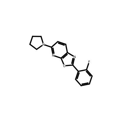 Fc1ccccc1-c1nc2ccc(N3CCCC3)nc2o1